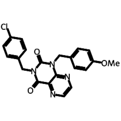 COc1ccc(Cn2c(=O)n(Cc3ccc(Cl)cc3)c(=O)c3nccnc32)cc1